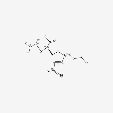 C=C(C)[C@@H](CCC(=C/CCC)/C=C/C(C)=N)CC(C)C(C)C